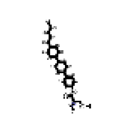 C/C=C(\CO)C(=O)Oc1ccc(C2CCC(C3CCC(CCCCC)CC3)CC2)cc1